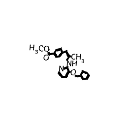 COC(=O)c1ccc(C=C(C)CNc2ncccc2OCc2ccccc2)cc1